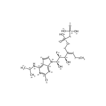 CC/C=C(/COP(=O)(O)CP(=O)(O)O)[C@@H](O)[C@H](F)[C@@H](O)n1cnc2c(NC(C)C)nc(Cl)nc21